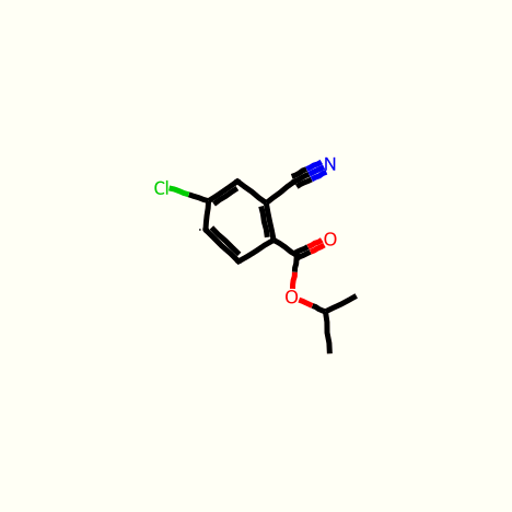 CC(C)OC(=O)c1c[c]c(Cl)cc1C#N